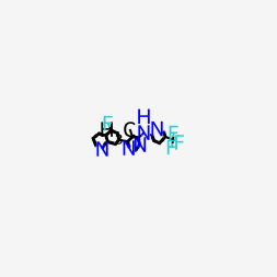 Cc1c(Nc2ccc(C(F)(F)F)cn2)ncnc1-c1cc(F)c2cccnc2c1